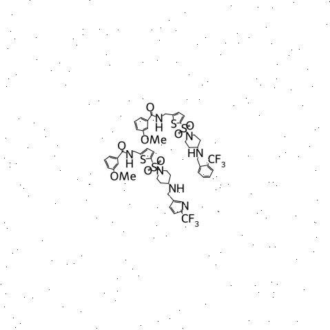 COc1cccc(C(=O)NCc2ccc(S(=O)(=O)N3CCC(NCc4ccc(C(F)(F)F)nc4)CC3)s2)c1.COc1cccc(C(=O)NCc2ccc(S(=O)(=O)N3CCC(NCc4ccccc4C(F)(F)F)CC3)s2)c1